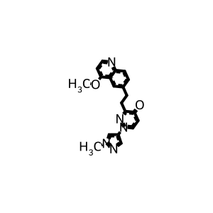 COc1ccnc2ccc(CCc3nn(-c4cnn(C)c4)ccc3=O)cc12